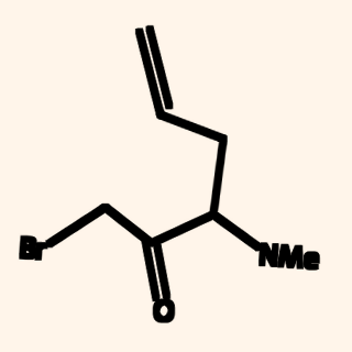 C=CCC(NC)C(=O)CBr